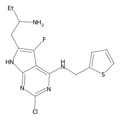 CCC(N)Cc1[nH]c2nc(Cl)nc(NCc3cccs3)c2c1F